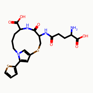 NC(CCC(=O)NC1CSc2cc(-c3cccs3)n(c2)CCCC(C(=O)O)NC1=O)C(=O)O